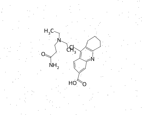 CCN(CC)CCC(N)=O.O=C(O)c1ccc2c(Cl)c3c(nc2c1)CCCC3